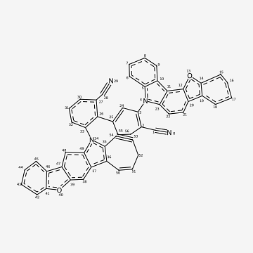 N#CC1=C(n2c3ccccc3c3c4oc5ccccc5c4ccc32)C=C(c2c(C#N)cccc2-n2c3c(c4cc5oc6ccccc6c5cc42)C=CCC#C3)CC1